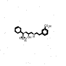 O=C(O)c1cccc(CCNC[C@@H](O)C[C@H](C2CC=CCC2)[PH](=O)O)c1